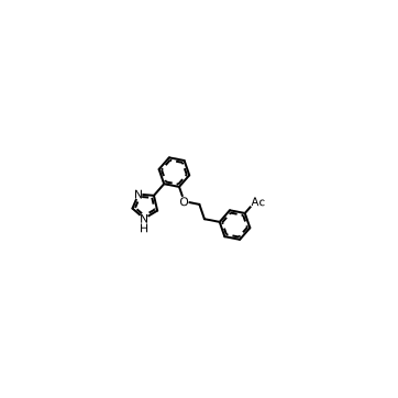 CC(=O)c1cccc(CCOc2ccccc2-c2c[nH]cn2)c1